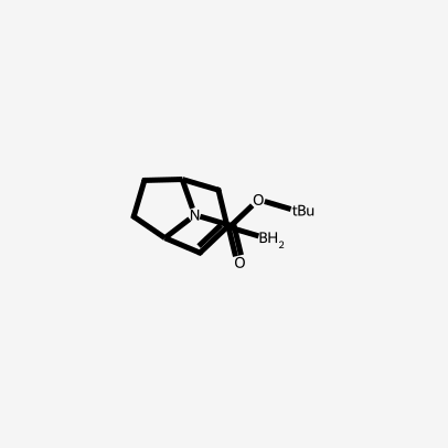 BC1=CC2CCC(C1)N2C(=O)OC(C)(C)C